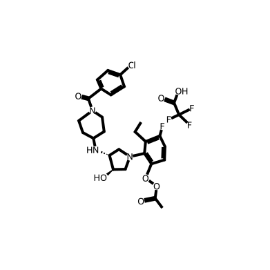 CCc1c(F)ccc(OOC(C)=O)c1N1C[C@@H](O)[C@H](NC2CCN(C(=O)c3ccc(Cl)cc3)CC2)C1.O=C(O)C(F)(F)F